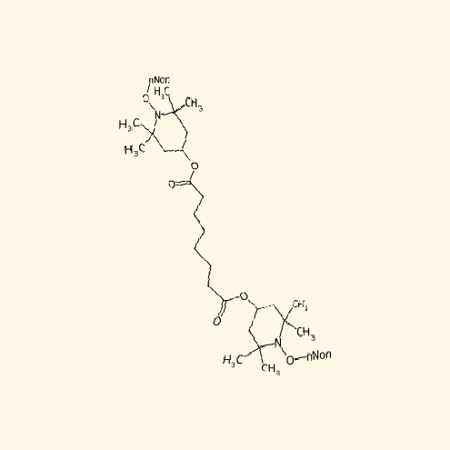 CCCCCCCCCON1C(C)(C)CC(OC(=O)CCCCCCC(=O)OC2CC(C)(C)N(OCCCCCCCCC)C(C)(C)C2)CC1(C)C